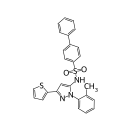 Cc1ccccc1-n1nc(-c2cccs2)cc1NS(=O)(=O)c1ccc(-c2ccccc2)cc1